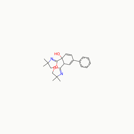 CC1(C)COC(C2C=C(c3ccccc3)C=CC2(O)C2=NC(C)(C)CO2)=N1